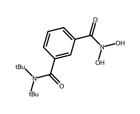 CC(C)(C)N(C(=O)c1cccc(C(=O)N(O)O)c1)C(C)(C)C